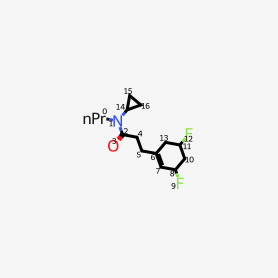 CCCN(C(=O)CCC1=CC(F)CC(F)C1)C1CC1